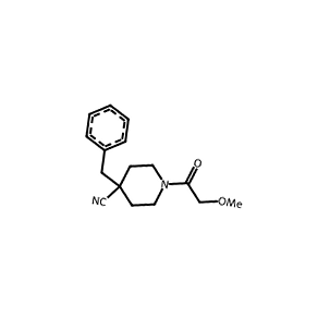 COCC(=O)N1CCC(C#N)(Cc2ccccc2)CC1